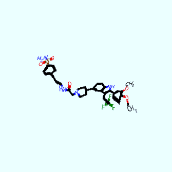 COc1ccc(-c2[nH]c3ccc(C4CCN(CC(=O)NCCc5ccc(S(N)(=O)=O)cc5)CC4)cc3c2CC(F)(F)F)cc1OC